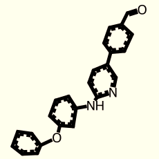 O=Cc1ccc(-c2ccc(Nc3cccc(Oc4ccccc4)c3)nc2)cc1